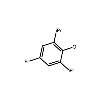 CC(C)c1cc(C(C)C)c([O])c(C(C)C)c1